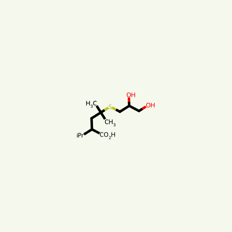 CC(C)C(CC(C)(C)SCC(O)CO)C(=O)O